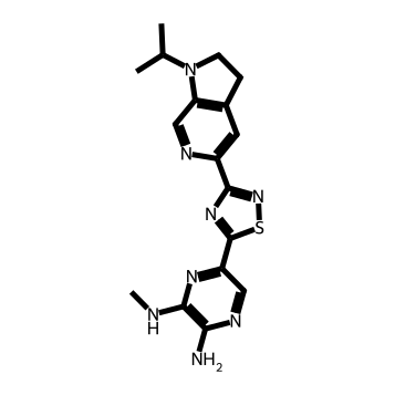 CNc1nc(-c2nc(-c3cc4c(cn3)N(C(C)C)CC4)ns2)cnc1N